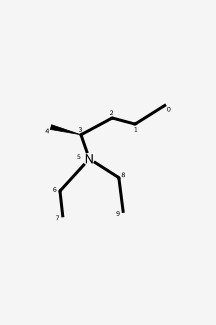 CCC[C@H](C)N(CC)CC